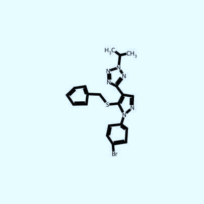 CC(C)n1nnc(-c2cnn(-c3ccc(Br)cc3)c2SCc2ccccc2)n1